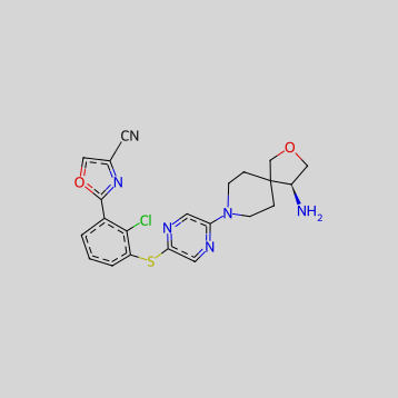 N#Cc1coc(-c2cccc(Sc3cnc(N4CCC5(CC4)COC[C@H]5N)cn3)c2Cl)n1